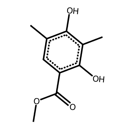 COC(=O)c1cc(C)c(O)c(C)c1O